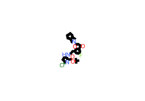 CC(C)(C)OC(=O)c1nc(Cl)ccc1NCCc1cc(F)cc2c(=O)cc(N3Cc4ccccc4C3)oc12